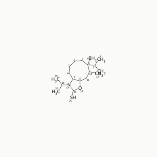 BC1(C(C)C)CCCCC2C(CC1C)OC(S)N2C(C)C